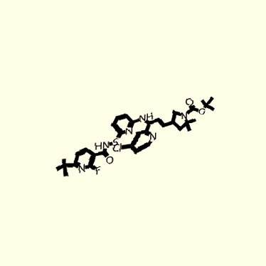 CC(C)(C)OC(=O)N1CC(CCC(Nc2cccc(SNC(=O)c3ccc(C(C)(C)C)nc3F)n2)c2cc(Cl)ccn2)CC1(C)C